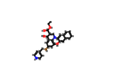 CCOC(=O)c1cn2c3c(cc(SCc4ccncc4)cc3c1=O)Oc1cc3ccccc3cc1-2